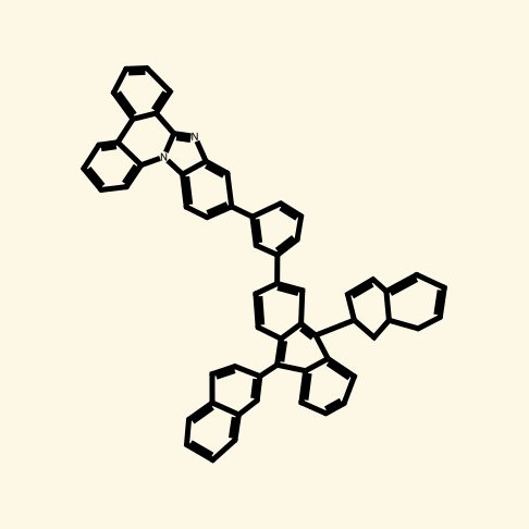 C1=CCC2CC(c3c4ccccc4c(-c4ccc5ccccc5c4)c4ccc(-c5cccc(-c6ccc7c(c6)nc6c8ccccc8c8ccccc8n76)c5)cc34)C=CC2=C1